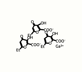 CCc1cc(=O)c(O)c(C(=O)[O-])o1.CCc1cc(=O)c(O)c(C(=O)[O-])o1.CCc1cc(=O)c(O)c(C(=O)[O-])o1.[Ga+3]